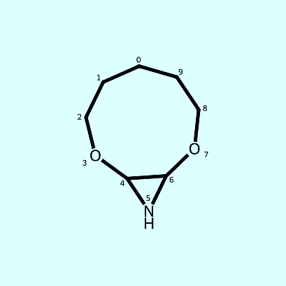 C1CCOC2NC2OCC1